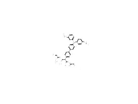 C=CC(=O)OC(C)C(c1ccc(-c2ccc(N(c3ccc(OC)cc3)c3cccc(OC)c3)cc2)cc1)C(C)OC(=O)C=C